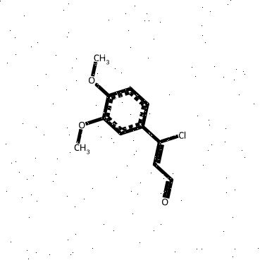 COc1ccc(C(Cl)=CC=O)cc1OC